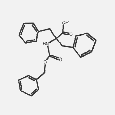 O=C(NC(Cc1ccccc1)(Cc1ccccc1)C(=O)O)OCc1ccccc1